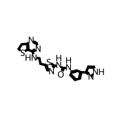 O=C(Nc1cccc(-c2cc[nH]n2)c1)Nc1ncc(CCNc2ncnc3c2SCC3)s1